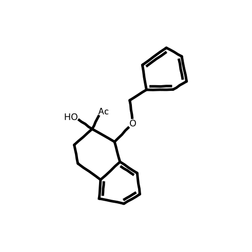 CC(=O)C1(O)CCc2ccccc2C1OCc1ccccc1